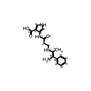 C/C(NCCC(=O)Nc1c[nH]cc1C(=O)O)=C(/N)c1ccccc1